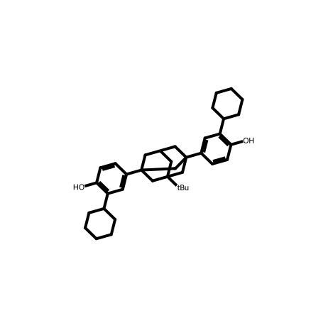 CC(C)(C)C12CC3CC(c4ccc(O)c(C5CCCCC5)c4)(CC(c4ccc(O)c(C5CCCCC5)c4)(C3)C1)C2